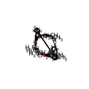 C[Si]1(C)OCc2ccc(nc2)-n2c3ccc4cc3c3cc(ccc32)[Si](C)(C)O[Si](C)(C)c2ccc3c(c2)c2cc(ccc2n3-c2ccc1cn2)[Si](C)(C)O[Si]4(C)C